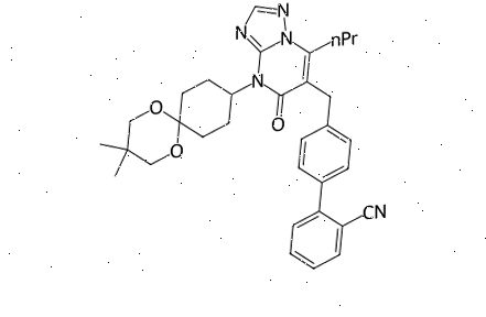 CCCc1c(Cc2ccc(-c3ccccc3C#N)cc2)c(=O)n(C2CCC3(CC2)OCC(C)(C)CO3)c2ncnn12